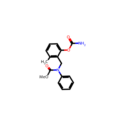 COC(=O)N(Cc1c(C)cccc1OC(N)=O)c1ccccc1